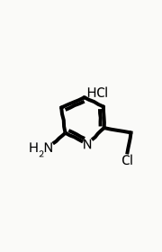 Cl.Nc1cccc(CCl)n1